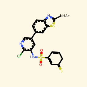 CC(=O)Nc1nc2ccc(-c3cnc(Cl)c(NS(=O)(=O)C4=CC(=S)CC=C4)c3)cc2s1